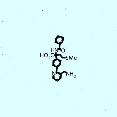 CSCCC(NC(=O)c1ccccc1)(C(=O)O)c1ccc(-c2ncccc2CN)cc1